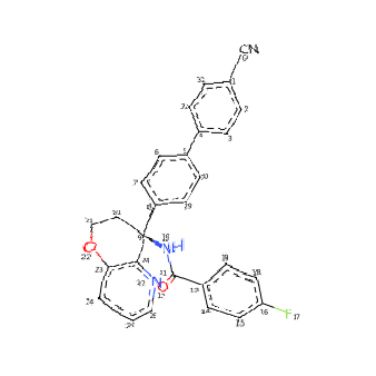 N#Cc1ccc(-c2ccc([C@@]3(NC(=O)c4ccc(F)cc4)CCOc4cccnc43)cc2)cc1